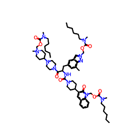 CCCCCCN(C)C(=O)OCn1cc2cc(CC(NC(=O)N3CCC(c4cc5ccccc5n(COC(=O)N(C)CCCCCC)c4=O)CC3)C(=O)N3CCN(C4CC[N+](C)(COC(=O)N(C)CCCCCC)CC4)CC3)cc(C)c2n1